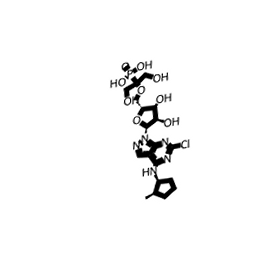 C[C@@H]1CCC[C@@H]1Nc1nc(Cl)nc2c1cnn2[C@@H]1O[C@H](COC(CO)(CO)P(=O)(O)O)[C@@H](O)[C@H]1O